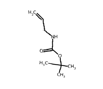 C=C[CH]NC(=O)OC(C)(C)C